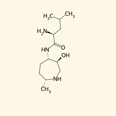 CC(C)C[C@H](N)C(=O)N[C@H]1CC[C@@H](C)NC[C@@H]1O